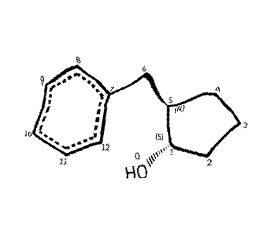 O[C@H]1CCC[C@@H]1Cc1c[c]ccc1